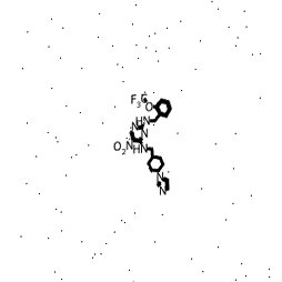 O=[N+]([O-])c1cnc(NCc2ccccc2OC(F)(F)F)nc1NCC1CCC(n2ccnc2)CC1